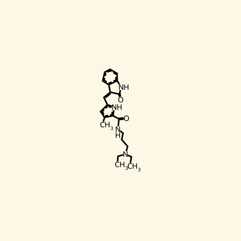 CCN(CC)CCCNC(=O)c1[nH]c(C=C2C(=O)Nc3ccccc32)cc1C